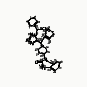 CC(c1ccccc1)n1nnnc1C(c1ccsc1)N1CCC(n2c(=O)[nH]c3ccccc32)CC1